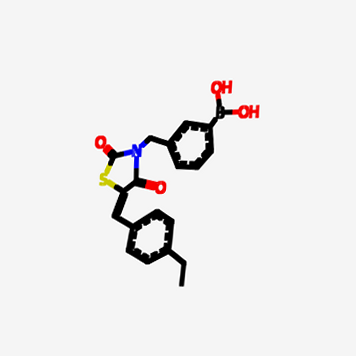 CCc1ccc(C=C2SC(=O)N(Cc3cccc(B(O)O)c3)C2=O)cc1